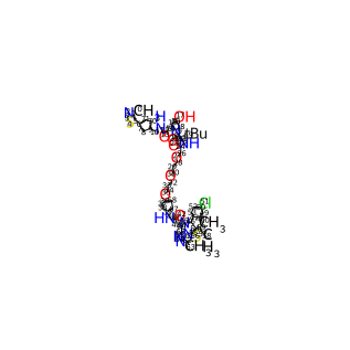 Cc1ncsc1-c1ccc(CNC(=O)[C@@H]2C[C@H](O)CN2C(=O)[C@@H](NC(=O)COCCCOCCCOc2ccc(NC(=O)C[C@@H]3N=C(c4ccc(Cl)cc4)c4c(sc(C)c4C)-n4c(C)nnc43)cc2)C(C)(C)C)cc1